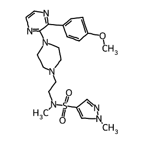 COc1ccc(-c2nccnc2N2CCN(CCN(C)S(=O)(=O)c3cnn(C)c3)CC2)cc1